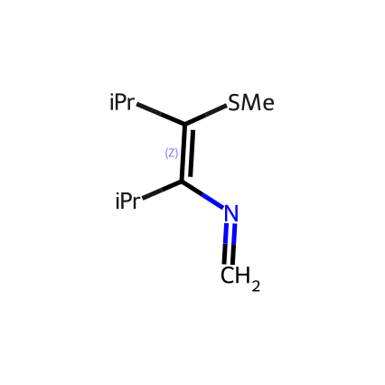 C=N/C(=C(\SC)C(C)C)C(C)C